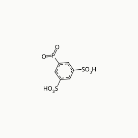 O=P(=O)c1cc(S(=O)(=O)O)cc(S(=O)(=O)O)c1